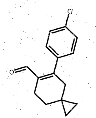 O=CC1=C(c2ccc(Cl)cc2)CC2(CC1)CC2